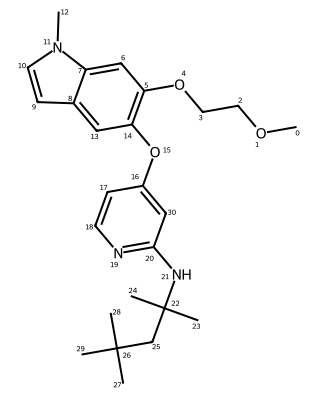 COCCOc1cc2c(ccn2C)cc1Oc1ccnc(NC(C)(C)CC(C)(C)C)c1